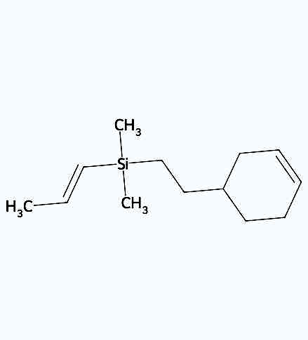 CC=C[Si](C)(C)CCC1CC=CCC1